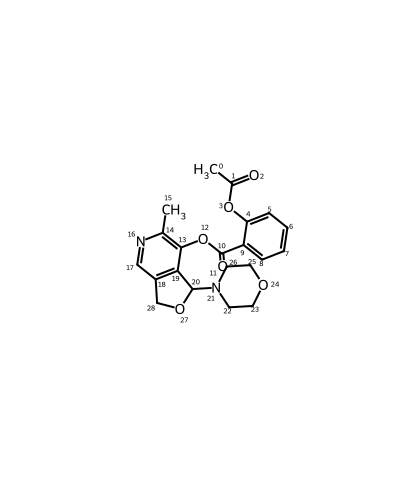 CC(=O)Oc1ccccc1C(=O)Oc1c(C)ncc2c1C(N1CCOCC1)OC2